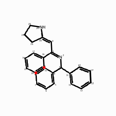 C(/C(=N/C(c1ccccc1)c1ccccc1)c1ccccc1)=C1/CCCN1